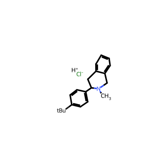 CN1Cc2ccccc2CC1c1ccc(C(C)(C)C)cc1.[Cl-].[H+]